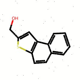 OCc1cc2c(ccc3ccccc32)s1